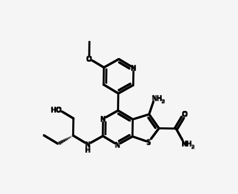 CC[C@H](CO)Nc1nc(-c2cncc(OC)c2)c2c(N)c(C(N)=O)sc2n1